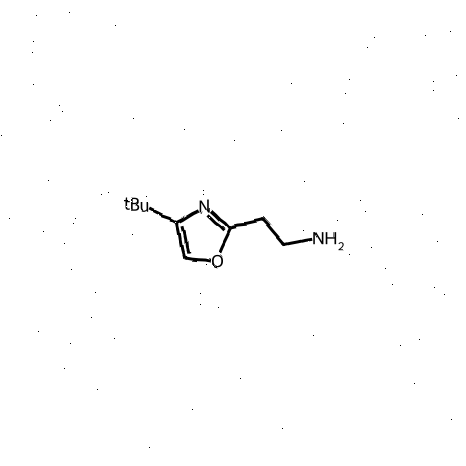 CC(C)(C)c1coc(CCN)n1